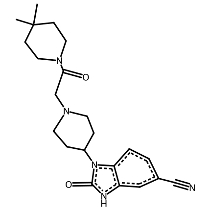 CC1(C)CCN(C(=O)CN2CCC(n3c(=O)[nH]c4cc(C#N)ccc43)CC2)CC1